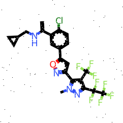 C=C(NCC1CC1)c1cc(-c2cc(-c3c(C(F)(F)F)c(C(F)(F)C(F)(F)F)nn3C)no2)ccc1Cl